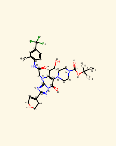 Cc1cc(C(F)(F)F)ccc1NC(=O)Cn1c(CCO)c(N2CCN(C(=O)OC(C)(C)C)CC2)c(=O)n2nc(C3=CCOCC3)nc12